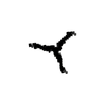 C=CC(=O)OCCCCOC(=O)Oc1ccc(-c2noc(-c3cc(-c4nc(-c5ccc(OC(=O)OCCCCOC(=O)C=C)cc5F)no4)cc(-c4nc(-c5ccc(OC(=O)OCCCCOC(=O)C=C)cc5F)no4)c3)n2)c(F)c1